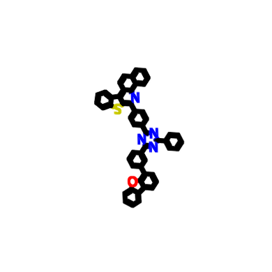 c1ccc(-c2nc(-c3ccc(-c4nc5c6ccccc6ccc5c5c4sc4ccccc45)cc3)nc(-c3cccc(-c4cccc5c4oc4ccccc45)c3)n2)cc1